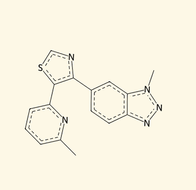 Cc1cccc(-c2scnc2-c2ccc3nnn(C)c3c2)n1